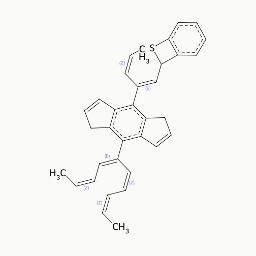 C\C=C/C=C\C(=C/C=C\C)c1c2c(c(C(/C=C\C)=C/C3Sc4ccccc43)c3c1CC=C3)CC=C2